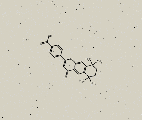 CC1(C)CCC(C)(C)c2cc3c(=O)cc(-c4ccc(C(=O)O)cc4)oc3cc21